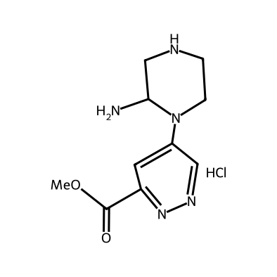 COC(=O)c1cc(N2CCNCC2N)cnn1.Cl